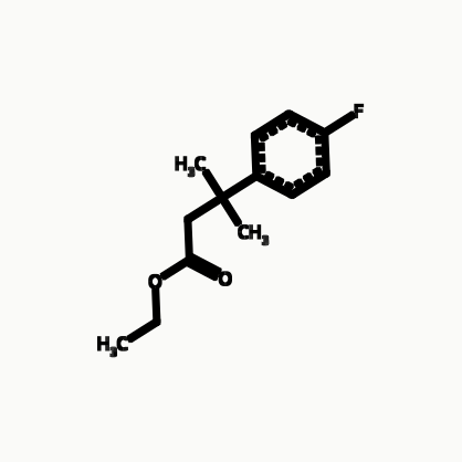 CCOC(=O)CC(C)(C)c1ccc(F)cc1